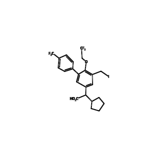 O=C(O)C(c1cc(CI)c(OCC(F)(F)F)c(-c2ccc(C(F)(F)F)cc2)c1)C1CCCC1